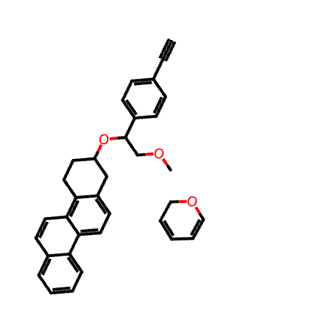 C#Cc1ccc(C(COC)OC2CCc3c(ccc4c3ccc3ccccc34)C2)cc1.C1=CCOC=C1